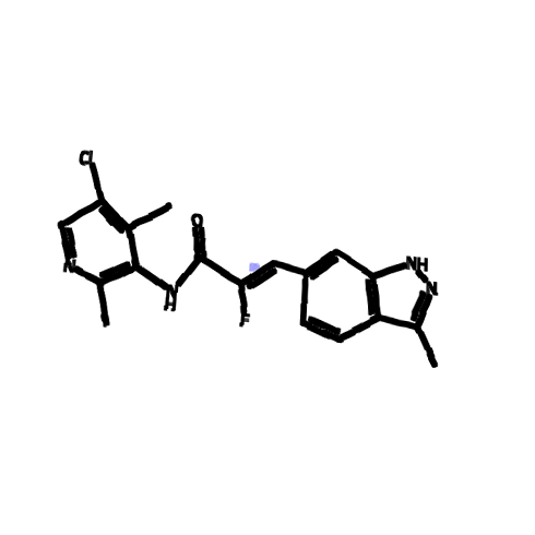 Cc1ncc(Cl)c(C)c1NC(=O)/C(F)=C/c1ccc2c(C)n[nH]c2c1